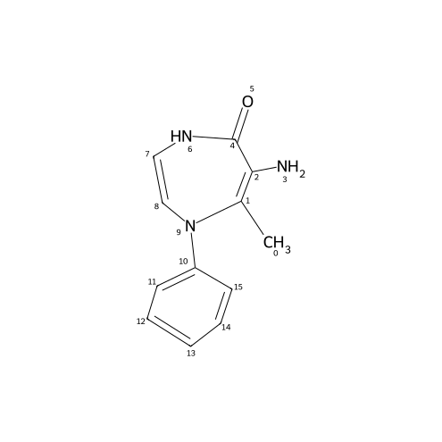 CC1=C(N)C(=O)NC=CN1c1ccccc1